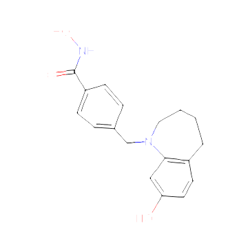 O=C(NO)c1ccc(CN2CCCCc3ccc(O)cc32)cc1